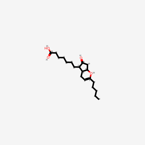 CCCCCC1=CCC2C(CC(=O)C2CCCCCCC(=O)O)O1